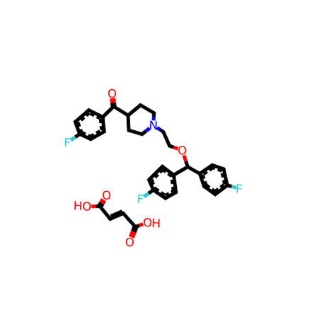 O=C(O)C=CC(=O)O.O=C(c1ccc(F)cc1)C1CCN(CCOC(c2ccc(F)cc2)c2ccc(F)cc2)CC1